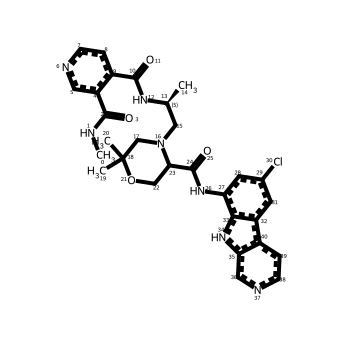 CNC(=O)c1cnccc1C(=O)N[C@@H](C)CN1CC(C)(C)OCC1C(=O)Nc1cc(Cl)cc2c1[nH]c1cnccc12